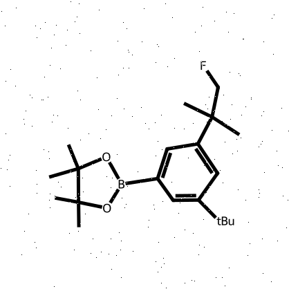 CC(C)(C)c1cc(B2OC(C)(C)C(C)(C)O2)cc(C(C)(C)CF)c1